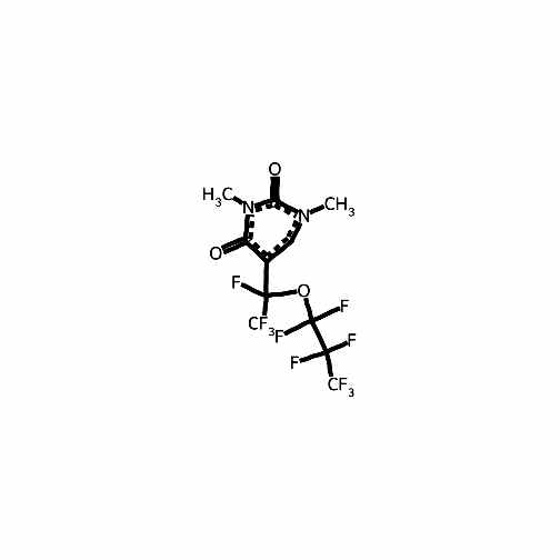 Cn1cc(C(F)(OC(F)(F)C(F)(F)C(F)(F)F)C(F)(F)F)c(=O)n(C)c1=O